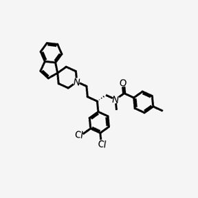 Cc1ccc(C(=O)N(C)C[C@@H](CCN2CCC3(C=Cc4ccccc43)CC2)c2ccc(Cl)c(Cl)c2)cc1